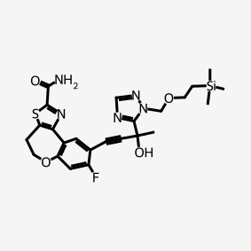 CC(O)(C#Cc1cc2c(cc1F)OCCc1sc(C(N)=O)nc1-2)c1ncnn1COCC[Si](C)(C)C